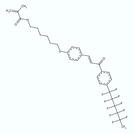 C=C(C)C(=O)OCCCCCCOc1ccc(C=CC(=O)c2ccc(C(F)(F)C(F)(F)C(F)(F)C(F)(F)C(F)(F)C(F)(F)F)cc2)cc1